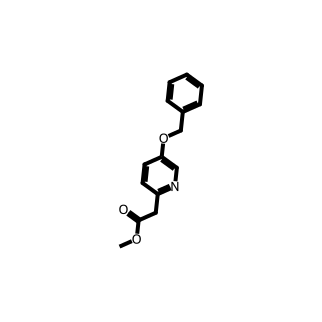 COC(=O)Cc1ccc(OCc2ccccc2)cn1